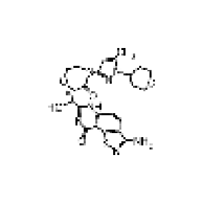 Cc1cc(N2CCO[C@H](C(O)c3nc(=O)c4c(ccc5c(N)nsc54)[nH]3)C2=O)nn1C1CCOCC1